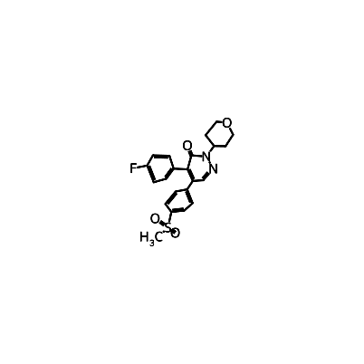 CS(=O)(=O)c1ccc(-c2cnn(C3CCOCC3)c(=O)c2-c2ccc(F)cc2)cc1